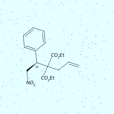 C=CCC(C(=O)OCC)(C(=O)OCC)[C@@H](C[N+](=O)[O-])c1ccccc1